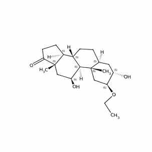 CCO[C@H]1C[C@@]2(C)[C@@H](CC[C@@H]3[C@@H]2[C@@H](O)C[C@]2(C)C(=O)CC[C@@H]32)C[C@@H]1O